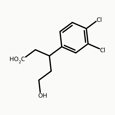 O=C(O)CC(CCO)c1ccc(Cl)c(Cl)c1